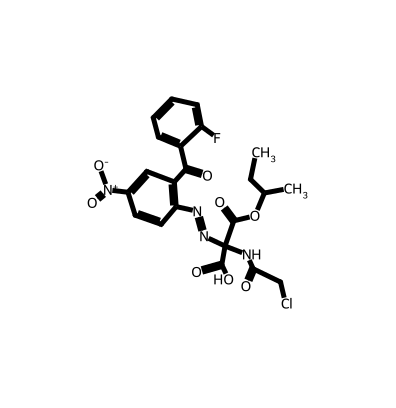 CCC(C)OC(=O)C(N=Nc1ccc([N+](=O)[O-])cc1C(=O)c1ccccc1F)(NC(=O)CCl)C(=O)O